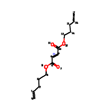 C=CCCCOC(=O)/C=C/C(=O)OCCCC=C